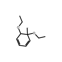 [CH2]C1(OCC)C=CC=CC1OCC